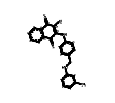 Cc1cccc(NCc2ccc(NC3=C(Cl)C(=O)c4ccccc4C3=O)cc2)c1